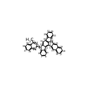 Cc1nc(-n2c3ccccc3c3c4c5cc6ccccc6cc5n5c6ccccc6c(cc32)c45)nc2ccccc12